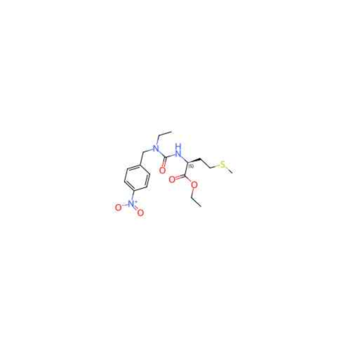 CCOC(=O)[C@H](CCSC)NC(=O)N(CC)Cc1ccc([N+](=O)[O-])cc1